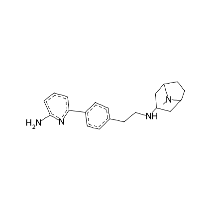 CN1C2CCC1CC(NCCc1ccc(-c3cccc(N)n3)cc1)C2